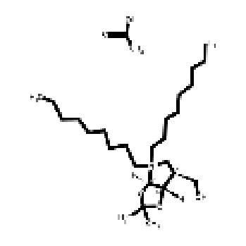 CC(=O)O.CCCCCCCCC[N+]1(CCCCCCCCC)C[C@@H](CO)[C@@H]2OC(C)(C)O[C@H]21